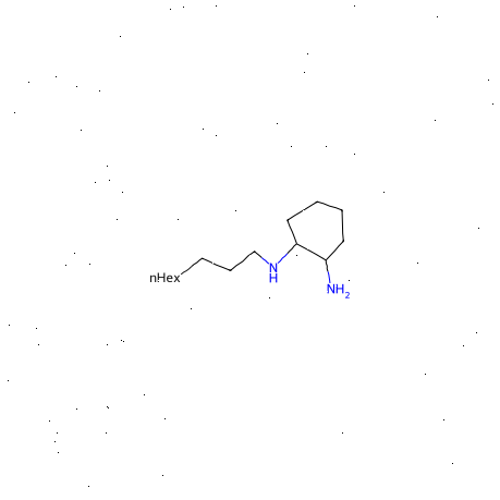 CCCCCCCCCNC1CCCCC1N